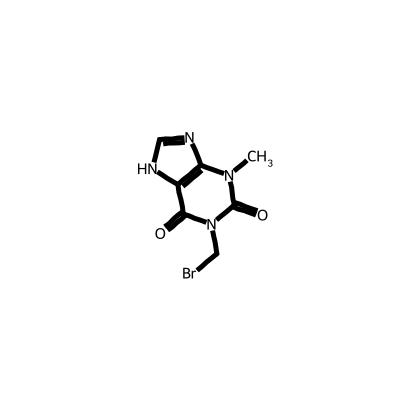 Cn1c(=O)n(CBr)c(=O)c2[nH]cnc21